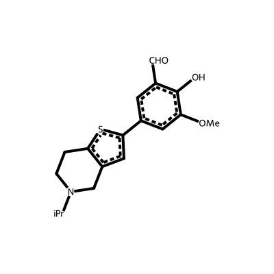 COc1cc(-c2cc3c(s2)CCN(C(C)C)C3)cc(C=O)c1O